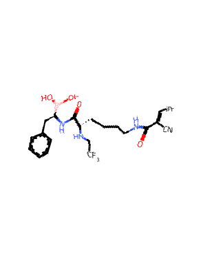 CC(C)C=C(C#N)C(=O)NCCCC[C@H](NCC(F)(F)F)C(=O)N[C@@H](Cc1ccccc1)B(O)O